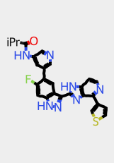 CC(C)C(=O)Nc1cncc(-c2cc3c(-c4nc5c(-c6ccsc6)nccc5[nH]4)n[nH]c3cc2F)c1